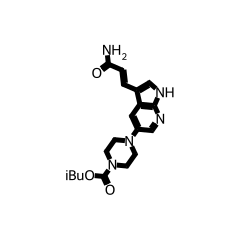 CC(C)COC(=O)N1CCN(c2cnc3[nH]cc(/C=C/C(N)=O)c3c2)CC1